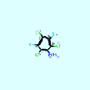 Nc1c(Cl)c(F)c(Cl)c(F)c1Cl